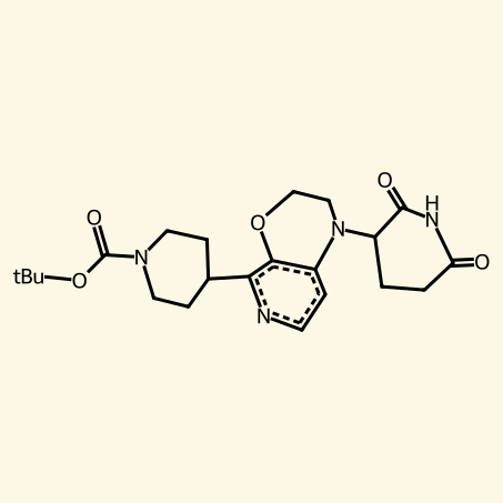 CC(C)(C)OC(=O)N1CCC(c2nccc3c2OCCN3C2CCC(=O)NC2=O)CC1